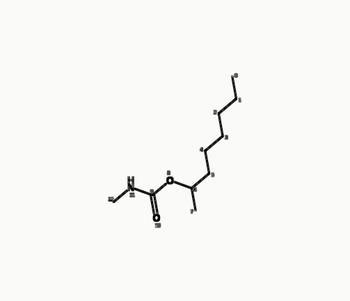 CCCCCCC(C)OC(=O)NC